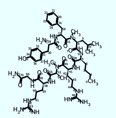 CCCC[C@H](NC(=O)[C@H](CC(C)C)N(C)C(=O)[C@H](Cc1ccccc1)NC(=O)[C@@H](N)Cc1ccc(O)cc1)C(=O)N[C@@H](CCCNC(=N)N)C(=O)N(C)[C@@H](C)C(=O)N[C@@H](CCCNC(=N)N)C(=O)NCC(N)=O